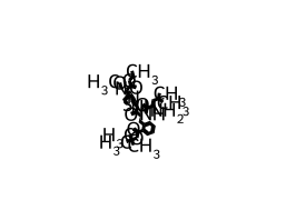 CCOC(=O)/C(=N\OC)c1csc(NC(=O)[C@H](Cc2ccccc2C(=O)OC(C)(C)C)NC(=O)[C@@H](N)CC(C)C)n1